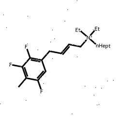 CCCCCCC[N+](CC)(CC)CC=CCc1cc(F)c(C)c(F)c1F